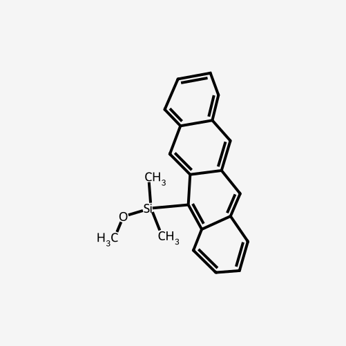 CO[Si](C)(C)c1c2ccccc2cc2cc3ccccc3cc12